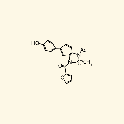 CC(=O)N1c2ccc(-c3ccc(O)cc3)cc2N(C(=O)c2ccco2)C[C@@H]1C